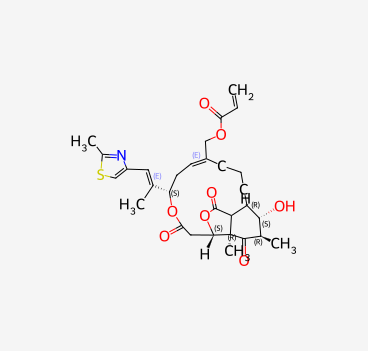 C=CC(=O)OC/C1=C/C[C@@H](/C(C)=C/c2csc(C)n2)OC(=O)C[C@@H]2OC(=O)C3[C@@H](CCC1)[C@H](O)[C@@H](C)C(=O)[C@]32C